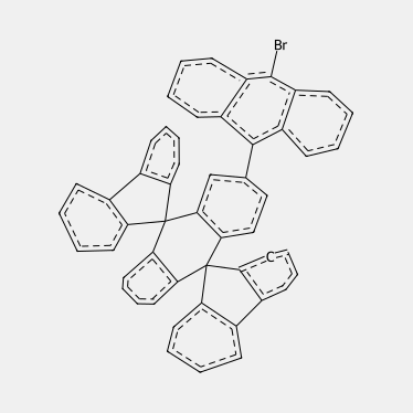 Brc1c2ccccc2c(-c2ccc3c(c2)C2(c4ccccc4-c4ccccc42)c2ccccc2C32c3ccccc3-c3ccccc32)c2ccccc12